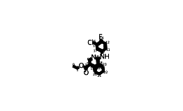 CCOC(=O)c1cnc(Nc2ccc(F)c(Cl)c2)c2c1C1CCC2CC1